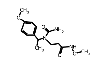 CONC(=O)CCN(C(N)=O)C(C)c1ccc(OC)cc1